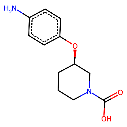 Nc1ccc(O[C@@H]2CCCN(C(=O)O)C2)cc1